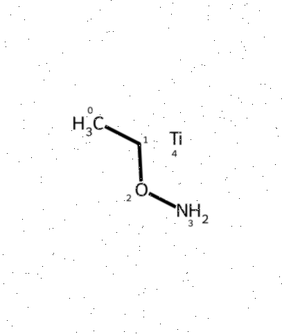 CCON.[Ti]